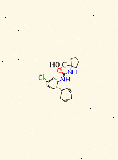 O=C(Nc1cc(Cl)ccc1-c1ccccc1)NC1(C(=O)O)CCCC1